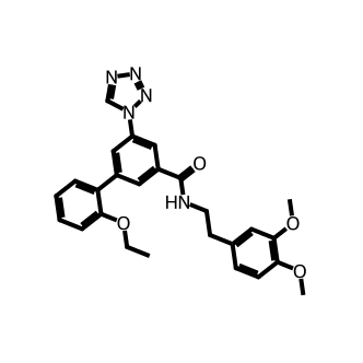 CCOc1ccccc1-c1cc(C(=O)NCCc2ccc(OC)c(OC)c2)cc(-n2cnnn2)c1